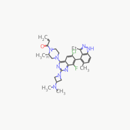 C=CC(=O)N1CCN(c2nc(N3CC(N(C)C)C3)nc3c(F)c(-c4c(C)ccc5[nH]nc(CC)c45)c(Cl)cc23)C[C@H]1C